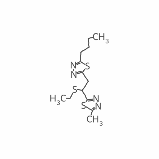 CCCCc1nnc(CC(SCC)c2nnc(C)s2)s1